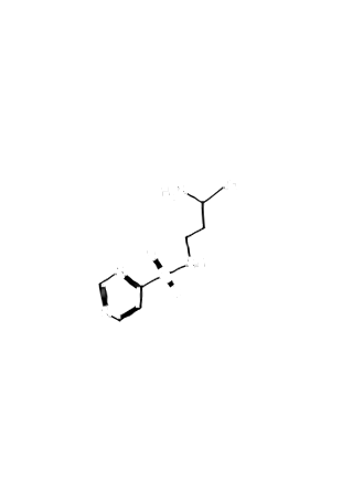 CC(C)C(N)CCNS(=O)(=O)c1ccncn1